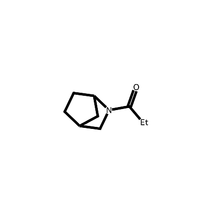 CCC(=O)N1CC2CCC1C2